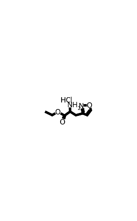 CCOC(=O)C(N)Cc1ccon1.Cl